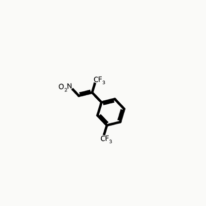 O=[N+]([O-])C=C(c1cccc(C(F)(F)F)c1)C(F)(F)F